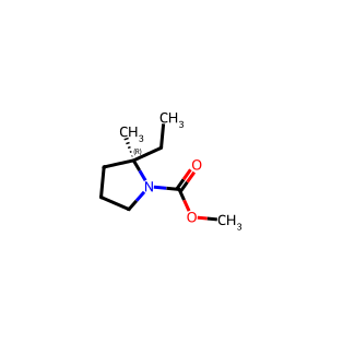 CC[C@]1(C)CCCN1C(=O)OC